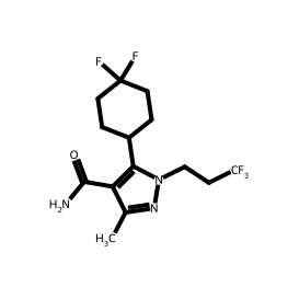 Cc1nn(CCC(F)(F)F)c(C2CCC(F)(F)CC2)c1C(N)=O